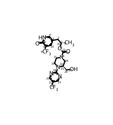 C[C@@H](Cc1c[nH]c(=O)c(C(F)(F)F)c1)OC(=O)N1CCN(c2ncc(C(F)(F)F)cn2)[C@H](CO)C1